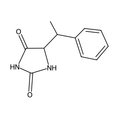 CC(c1ccccc1)C1NC(=O)NC1=O